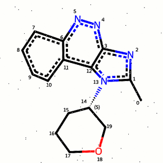 Cc1nc2nnc3ccccc3c2n1[C@H]1CCCOC1